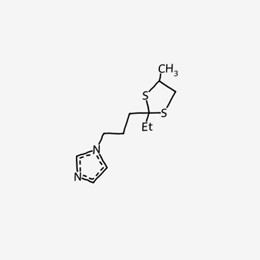 CCC1(CCCn2ccnc2)SCC(C)S1